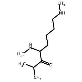 CNCCCCC(NC)C(=O)C(C)C